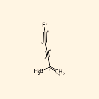 BC(=C)C#CC#CF